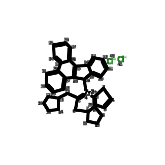 C1=CC[C]([Zr+2](=[C](CC2CCCC2)CC2CCCC2)[CH]2c3ccccc3-c3c2c2ccccc2c2ccccc32)=C1.[Cl-].[Cl-]